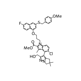 COC(=O)c1c(C)c2c(-c3c(CO)nn4c3CC(C)(C)C4)c(Cl)ccc2n1CCCOc1cc(SCc2ccc(OC)cc2)cc2cc(F)ccc12